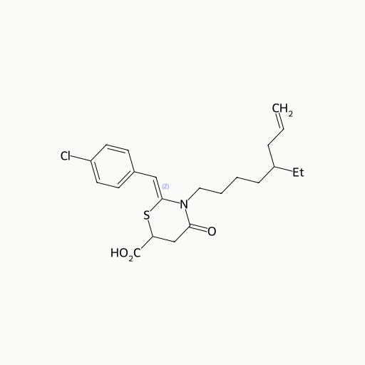 C=CCC(CC)CCCCN1C(=O)CC(C(=O)O)S/C1=C\c1ccc(Cl)cc1